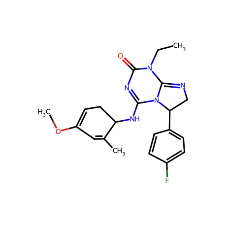 CCN1C(=O)N=C(NC2CC=C(OC)C=C2C)N2C1=NCC2c1ccc(F)cc1